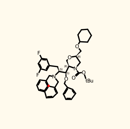 CC(C)(C)OC(=O)N1C[C@H](COC2CCCCC2)OC[C@@H]1[C@@H](OCc1ccccc1)[C@H](Cc1cc(F)cc(F)c1)N(Cc1ccccc1)Cc1ccccc1